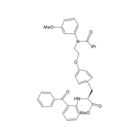 COC(=O)[C@H](Cc1ccc(OCCN(C(=O)C(C)C)c2cccc(OC)c2)cc1)Nc1ccccc1C(=O)c1ccccc1